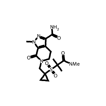 CNC(=O)C(C)(C)S(=O)(=O)C1(CN2CCc3c(C(N)=O)nn(C)c3C2=O)CC1